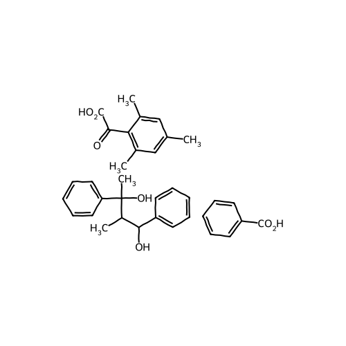 CC(C(O)c1ccccc1)C(C)(O)c1ccccc1.Cc1cc(C)c(C(=O)C(=O)O)c(C)c1.O=C(O)c1ccccc1